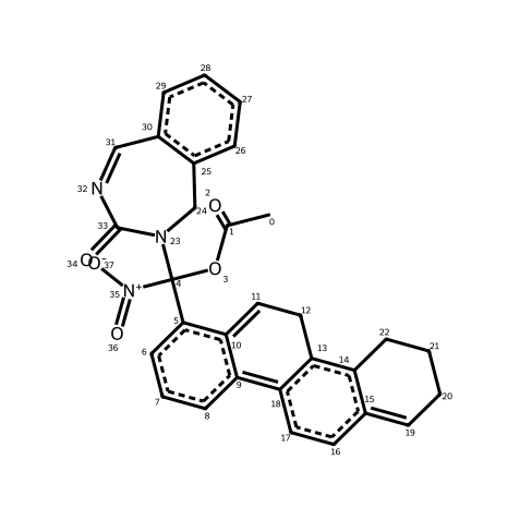 CC(=O)OC(c1cccc2c1=CCc1c3c(ccc1=2)=CCCC3)(N1Cc2ccccc2C=NC1=O)[N+](=O)[O-]